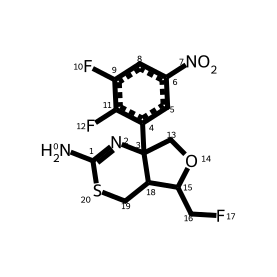 NC1=NC2(c3cc([N+](=O)[O-])cc(F)c3F)COC(CF)C2CS1